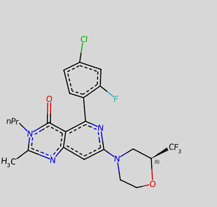 CCCn1c(C)nc2cc(N3CCO[C@H](C(F)(F)F)C3)nc(-c3ccc(Cl)cc3F)c2c1=O